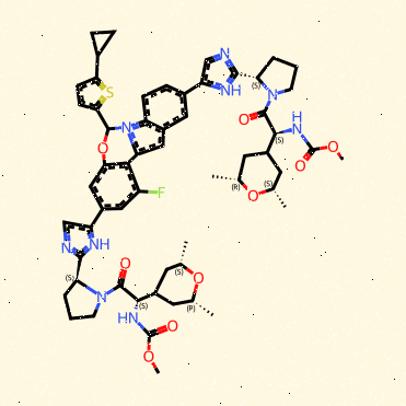 COC(=O)N[C@H](C(=O)N1CCC[C@H]1c1ncc(-c2cc(F)c3c(c2)OC(c2ccc(C4CC4)s2)n2c-3cc3cc(-c4cnc([C@@H]5CCCN5C(=O)[C@@H](NC(=O)OC)C5C[C@@H](C)O[C@@H](C)C5)[nH]4)ccc32)[nH]1)C1C[C@@H](C)O[C@@H](C)C1